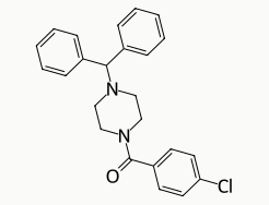 O=C(c1ccc(Cl)cc1)N1CCN(C(c2ccccc2)c2ccccc2)CC1